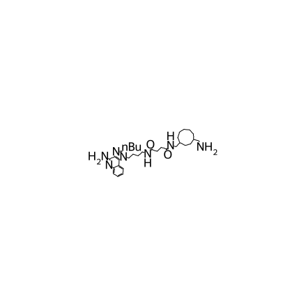 CCCCc1nc2c(N)nc3ccccc3c2n1CCCCNC(=O)CCC(=O)NCC1CCCCCC(CN)CC1